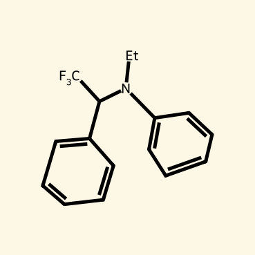 CCN(c1ccccc1)C(c1ccccc1)C(F)(F)F